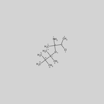 CC(Cl)C(C)(N)O[Si](C)(C)C(C)(C)C